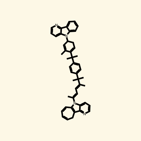 CC1=CC(n2c3ccccc3c3ncccc32)CC=C1C(C)(C)c1ccc(C(C)(C)/C(C)=C/C=C(\C)n2c3c(c4ncccc42)CC=CC=C3)cc1